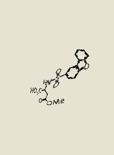 COC(=O)CC(NS(=O)(=O)c1ccc2oc3ccccc3c2c1)C(=O)O